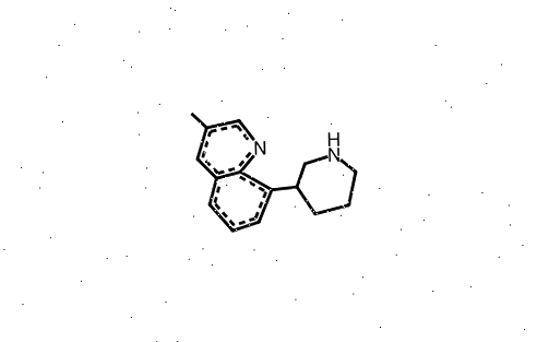 Cc1cnc2c(C3CCCNC3)cccc2c1